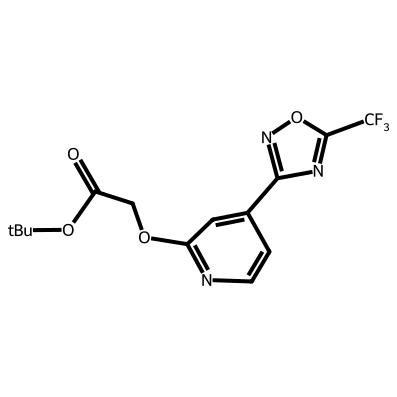 CC(C)(C)OC(=O)COc1cc(-c2noc(C(F)(F)F)n2)ccn1